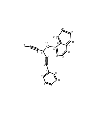 CC#CC(C#Cc1ccccc1)Oc1cccc2cccnc12